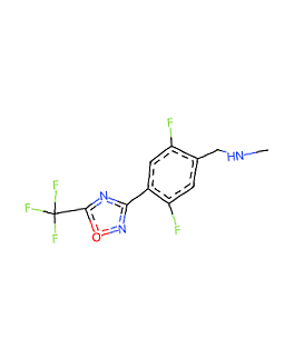 CNCc1cc(F)c(-c2noc(C(F)(F)F)n2)cc1F